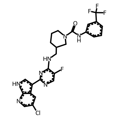 O=C(Nc1cccc(C(F)(F)F)c1)N1CCCC(CNc2nc(-c3c[nH]c4ncc(Cl)cc34)ncc2F)C1